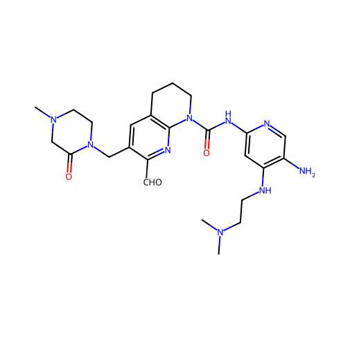 CN(C)CCNc1cc(NC(=O)N2CCCc3cc(CN4CCN(C)CC4=O)c(C=O)nc32)ncc1N